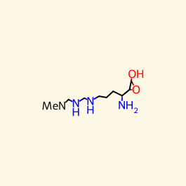 CNCNCNCCC[C@H](N)C1OC1O